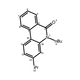 CCCCn1c(=O)c2ccccc2c2ccc(C(C)C)cc21